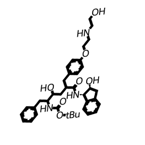 CC(C)(C)OC(=O)NC(Cc1ccccc1)C(O)CC(Cc1ccc(OCCNCCO)cc1)C(=O)N[C@H]1c2ccccc2C[C@@H]1O